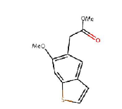 COC(=O)Cc1cc2ccsc2cc1OC